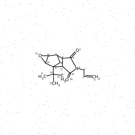 C=CCN1C(=O)C2C3CC(C(C)(C)C)(C4OC34)C2C1=O